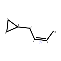 C/C=C\CC1CC1